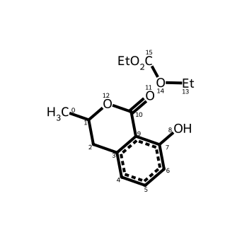 CC1Cc2cccc(O)c2C(=O)O1.CCOC(=O)OCC